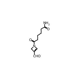 NC(=O)CCCCC(=O)N1C=C(C=O)C1